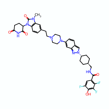 Cn1c(=O)n(C2CCC(=O)NC2=O)c2ccc(CCN3CCN(c4ccc5cn([C@H]6CC[C@H](CNC(=O)c7cc(F)c(O)c(F)c7F)CC6)nc5c4)CC3)cc21